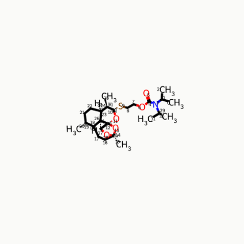 CC(C)N(C(=O)OCCS[C@@H]1O[C@@]23O[C@@]4(C)CC[C@H]5[C@H](C)CC[C@@H]([C@H]1C)[C@]52C3O4)C(C)C